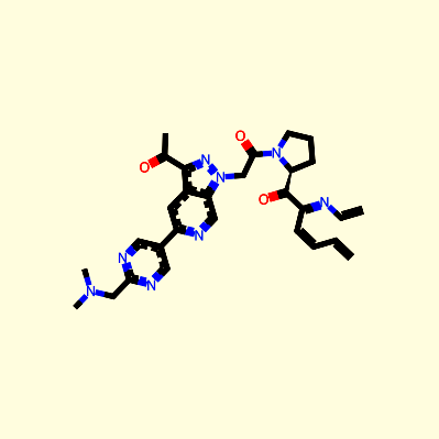 C=C/C=C\C(=N/C=C)C(=O)[C@@H]1CCCN1C(=O)Cn1nc(C(C)=O)c2cc(-c3cnc(CN(C)C)nc3)ncc21